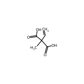 [CH2]C(C=C)(C(=O)O)C(=O)O